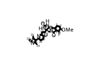 COc1ccc2c(c1F)C(=O)N(C[C@@]1(c3cc4nc(-c5c(C)nn(C)c5C)ccc4o3)NC(=O)NC1=O)C2